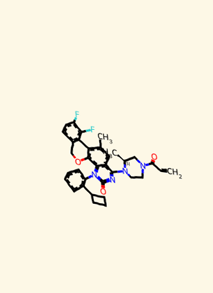 C=CC(=O)N1CCN(c2nc(=O)n(-c3ccccc3C3CCC3)c3c4c(c(C)cc23)-c2c(ccc(F)c2F)CO4)[C@@H](C)C1